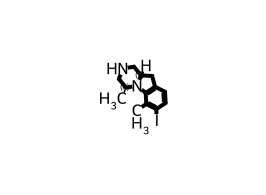 Cc1c(I)ccc2c1N1[C@H](CNC[C@H]1C)C2